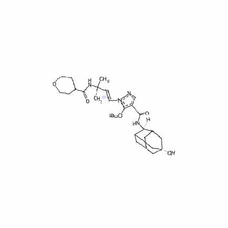 CC(C)COc1c(C(=O)N[C@H]2C3CC4CC2C[C@](O)(C4)C3)cnn1/C=C/C(C)(C)NC(=O)C1CCOCC1